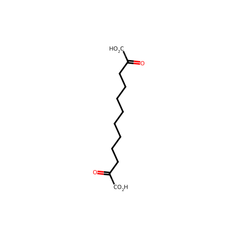 O=C(O)C(=O)CCCCCCCCC(=O)C(=O)O